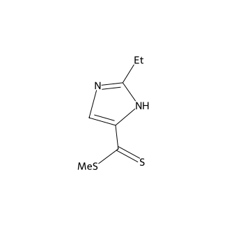 CCc1ncc(C(=S)SC)[nH]1